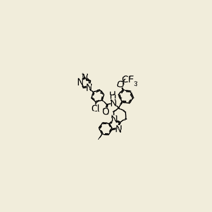 Cc1ccc2c(c1)nc1n2CC(NC(=O)c2ccc(-n3cnnc3)cc2Cl)(c2cccc(OC(F)(F)F)c2)CC1